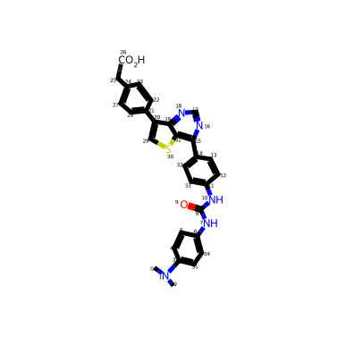 CN(C)c1ccc(NC(=O)Nc2ccc(-c3ncnc4c(-c5ccc(CC(=O)O)cc5)csc34)cc2)cc1